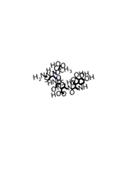 CC(C)(O/N=C(\C(=O)NC1C(=O)N2C(C(=O)O)=C(CNC(=O)c3c[nH]c4cc(O)c(O)c(C(=O)O)c4c3=O)CS[C@@H]12)c1csc(N)n1)C(=O)O